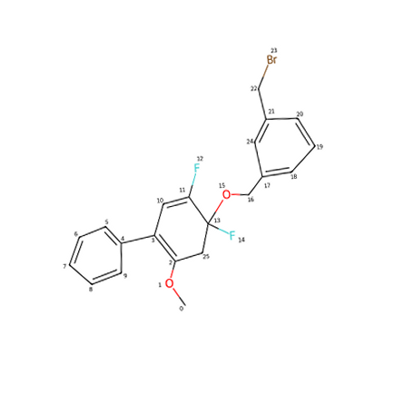 COC1=C(c2ccccc2)C=C(F)C(F)(OCc2cccc(CBr)c2)C1